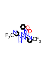 O=c1oc2ccccc2n1-c1nc(Nc2ccnc(C(F)(F)F)c2)nc(-c2cccc(C(F)(F)F)n2)n1